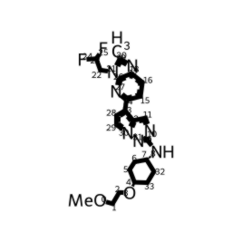 COCCO[C@H]1CC[C@H](Nc2ncc3c(-c4ccc5nc(C)n(CC(F)F)c5n4)ccn3n2)CC1